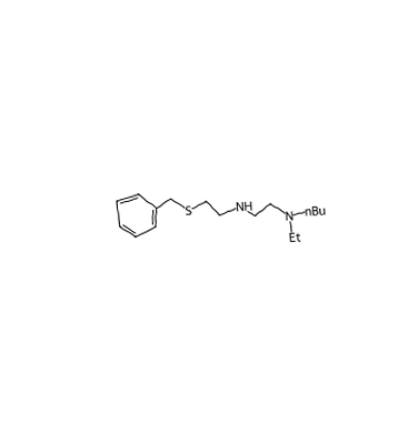 CCCCN(CC)CCNCCSCc1ccccc1